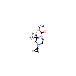 CC(C)(C)OC(=O)N1CCN(C2CC2)CC1(C)C